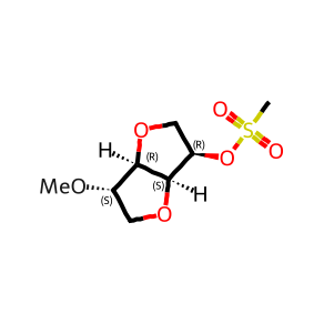 CO[C@H]1CO[C@H]2[C@@H]1OC[C@H]2OS(C)(=O)=O